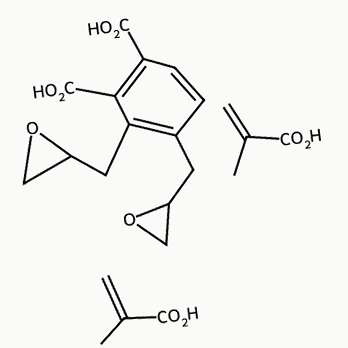 C=C(C)C(=O)O.C=C(C)C(=O)O.O=C(O)c1ccc(CC2CO2)c(CC2CO2)c1C(=O)O